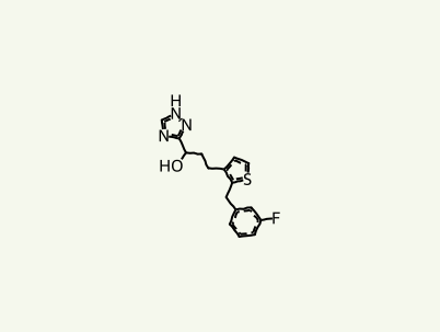 OC(CCc1ccsc1Cc1cccc(F)c1)c1nc[nH]n1